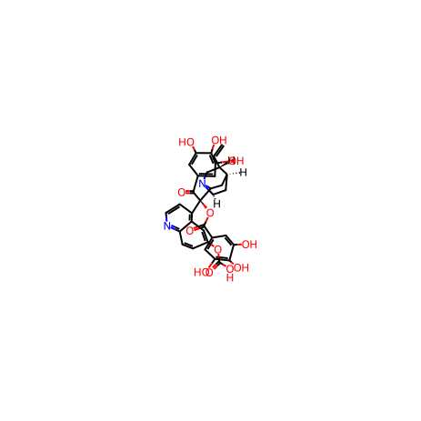 C=C[C@H]1CN2CC[C@H]1C[C@H]2[C@@](OC(=O)c1cc(O)c(O)c(O)c1)(C(=O)c1cc(O)c(O)c(O)c1)c1ccnc2ccc(OC(=O)O)cc12